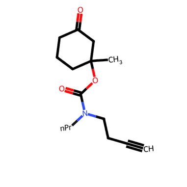 C#CCCN(CCC)C(=O)OC1(C)CCCC(=O)C1